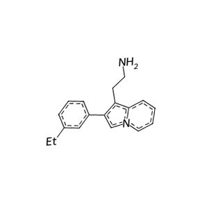 CCc1cccc(-c2cn3ccccc3c2CCN)c1